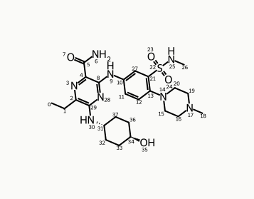 CCc1nc(C(N)=O)c(Nc2ccc(N3CCN(C)CC3)c(S(=O)(=O)NC)c2)nc1N[C@H]1CC[C@H](O)CC1